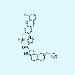 Cc1cc(Oc2c(F)cccc2F)ncc1-n1ncc(C(=O)c2cc3c4c(ccc3[nH]2)CCN(CC2COC2)C4)c1N